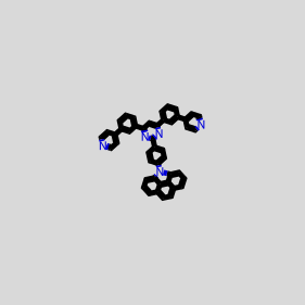 c1cc(-c2ccncc2)cc(-c2cc(-c3cccc(-c4ccncc4)c3)nc(-c3ccc(-n4c5cccc6ccc7cccc4c7c65)cc3)n2)c1